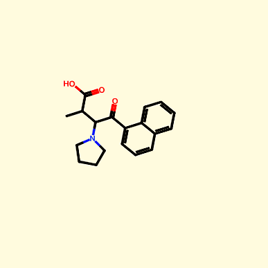 CC(C(=O)O)C(C(=O)c1cccc2ccccc12)N1CCCC1